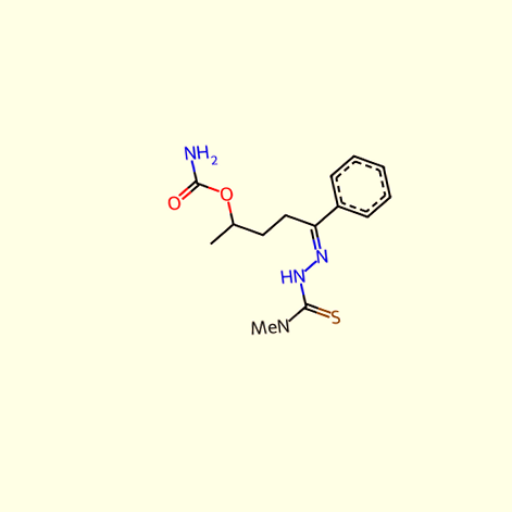 CNC(=S)NN=C(CCC(C)OC(N)=O)c1ccccc1